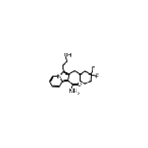 NC(=O)c1c(CC2CCCC(F)(F)C2)c(CCO)n2ccccc12